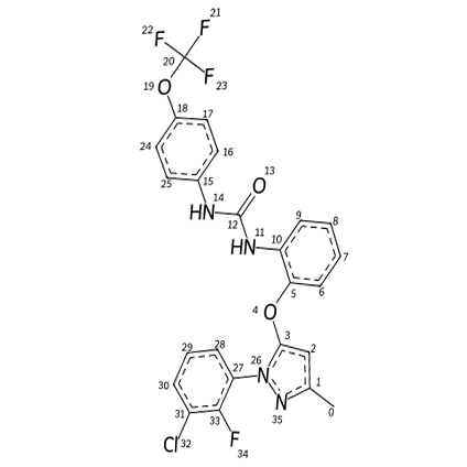 Cc1cc(Oc2ccccc2NC(=O)Nc2ccc(OC(F)(F)F)cc2)n(-c2cccc(Cl)c2F)n1